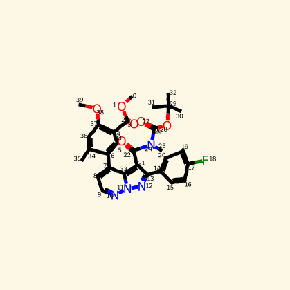 COC(=O)c1cc(-c2ccnn3nc(-c4ccc(F)cc4)c(C(=O)N(C)C(=O)OC(C)(C)C)c23)c(C)cc1OC